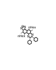 CCCCCCc1c(C)c2nc(-c3ccccc3)c(-c3ccccc3)nc2c2c(CCCCCC)c(C)c3nonc3c12